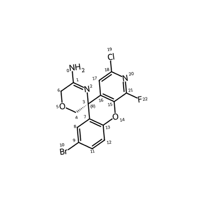 NC1=N[C@]2(COC1)c1cc(Br)ccc1Oc1c2cc(Cl)nc1F